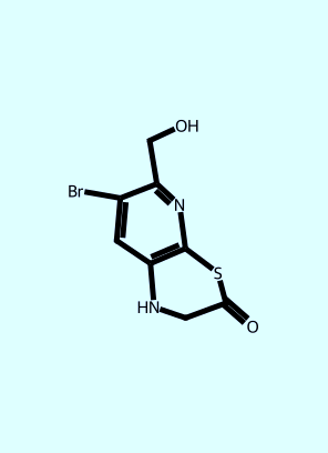 O=C1CNc2cc(Br)c(CO)nc2S1